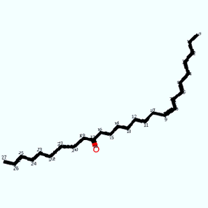 CCCCCCCC/C=C\CCCCCCCC(=O)CCCCCCCCC